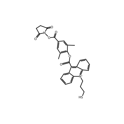 Cc1cc(C(=O)ON2C(=O)CCC2=O)cc(C)c1OC(=O)c1c2ccccc2[n+](CCCS)c2ccccc12